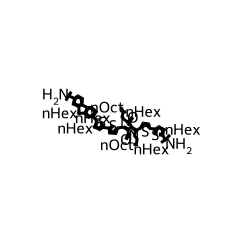 CCCCCCCCC(CCCCCC)CN1C(=O)C2=C(c3ccc(-c4cc(CCCCCC)c(C(C)(C)N)s4)s3)N(CC(CCCCCC)CCCCCCCC)C(=O)C2=C1c1ccc(-c2cc(CCCCCC)c(-c3ccc4c(c3)C(CCCCCC)(CCCCCC)c3cc(C(C)(C)N)ccc3-4)s2)s1